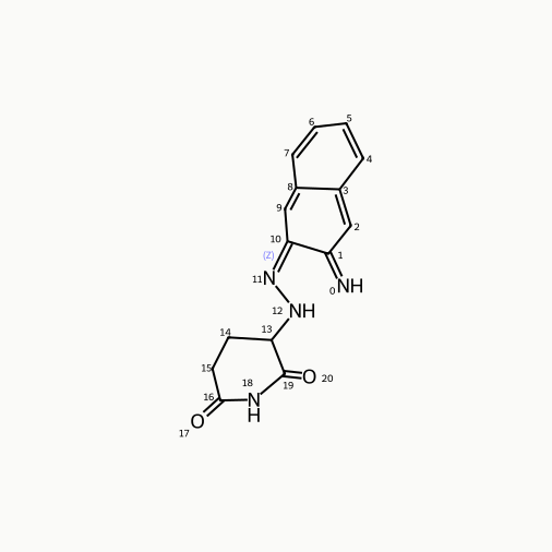 N=C1C=c2ccccc2=C/C1=N/NC1CCC(=O)NC1=O